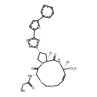 CC[C@]1(C(=O)O)/C=C\CCCC[C@H](NC(=O)OC(C)(C)C)C(=O)N2C[C@H](n3nnc(-c4ccc(-c5ccccc5)s4)n3)C[C@H]2C(=O)N1